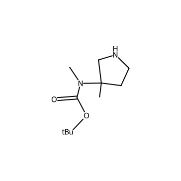 CN(C(=O)OC(C)(C)C)C1(C)CCNC1